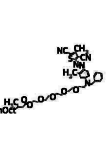 CCCCCCCCC(C)CC(=O)OCCOCCOCCOCCOCCN(Cc1ccccc1)c1ccc(/N=N/c2sc(C#N)c(C)c2C#N)c(C)c1